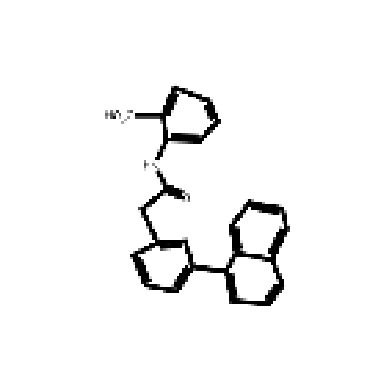 O=C(Cc1cccc(-c2cccc3ccccc23)c1)Nc1ccccc1C(=O)O